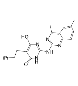 Cc1ccc2nc(Nc3nc(O)c(CCC(C)C)c(=O)[nH]3)nc(C)c2c1